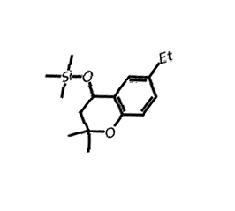 CCc1ccc2c(c1)C(O[Si](C)(C)C)CC(C)(C)O2